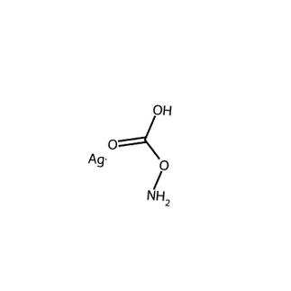 NOC(=O)O.[Ag]